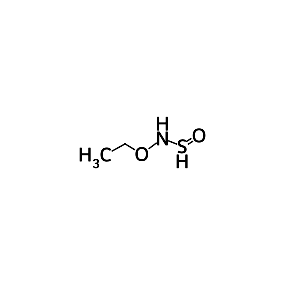 CCON[SH]=O